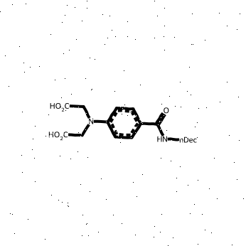 CCCCCCCCCCNC(=O)c1ccc(N(CC(=O)O)CC(=O)O)cc1